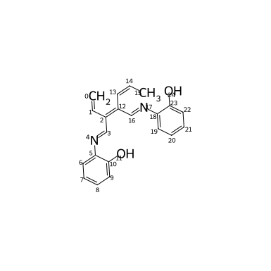 C=CC(/C=N/c1ccccc1O)=C(\C=C/C)/C=N/c1ccccc1O